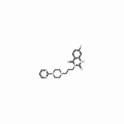 O=c1[nH]c2cc(F)ccc2c(=O)n1CCCN1CCN(c2ncccn2)CC1